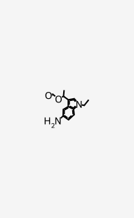 CCn1cc(C(C)OC=O)c2cc(N)ccc21